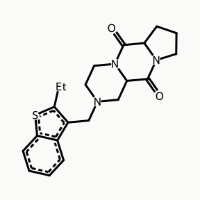 CCc1sc2ccccc2c1CN1CCN2C(=O)C3CCCN3C(=O)C2C1